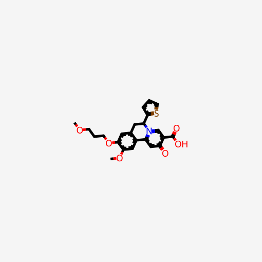 COCCCOc1cc2c(cc1OC)-c1cc(=O)c(C(=O)O)cn1C(c1cccs1)C2